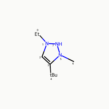 CCN1C=C(C(C)(C)C)N(C)N1